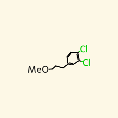 COCCCc1ccc(Cl)c(Cl)c1